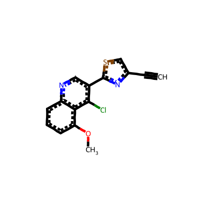 C#Cc1csc(-c2[c]nc3cccc(OC)c3c2Cl)n1